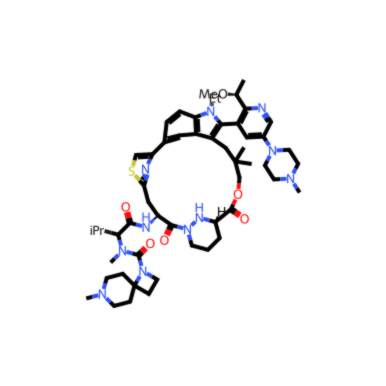 CCn1c(-c2cc(N3CCN(C)CC3)cnc2[C@H](C)OC)c2c3cc(ccc31)-c1csc(n1)C[C@H](NC(=O)C(C(C)C)N(C)C(=O)N1CCC13CCN(C)CC3)C(=O)N1CCC[C@H](N1)C(=O)OCC(C)(C)C2